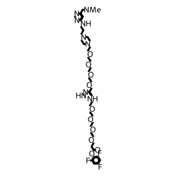 CNCc1cc(NCCCN2CCN(CCOCCOCCOCCOC/C(=C/NCCOCCOCCOCCOCCC(=O)Oc3c(F)cc(F)cc3F)N=N)CC2)ncn1